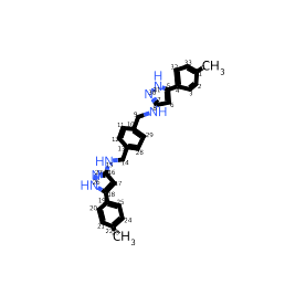 Cc1ccc(-c2cc(NCc3ccc(CNc4cc(-c5ccc(C)cc5)[nH]n4)cc3)n[nH]2)cc1